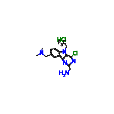 CN(C)Cc1ccc2c(c1)c1nc(CN)nc(Cl)c1n2CC(F)(F)F.Cl